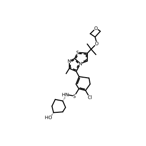 Cc1nc2sc(C(C)(C)OC3COC3)cn2c1C1=CC(SN[C@H]2CC[C@@H](O)CC2)=C(Cl)CC1